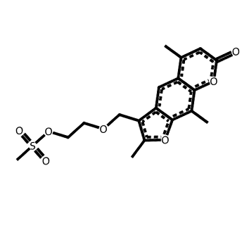 Cc1oc2c(C)c3oc(=O)cc(C)c3cc2c1COCCOS(C)(=O)=O